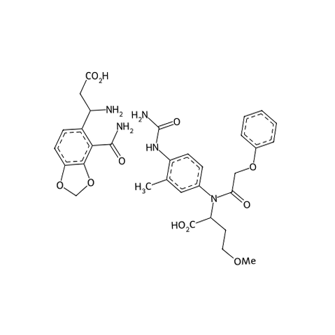 COCCC(C(=O)O)N(C(=O)COc1ccccc1)c1ccc(NC(N)=O)c(C)c1.NC(=O)c1c(C(N)CC(=O)O)ccc2c1OCO2